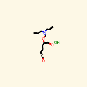 C=CCN(CC=C)COC(=C=O)CCC=C=O.Cl